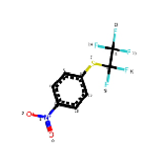 O=[N+]([O-])c1ccc(SC(F)(F)C(F)(F)F)cc1